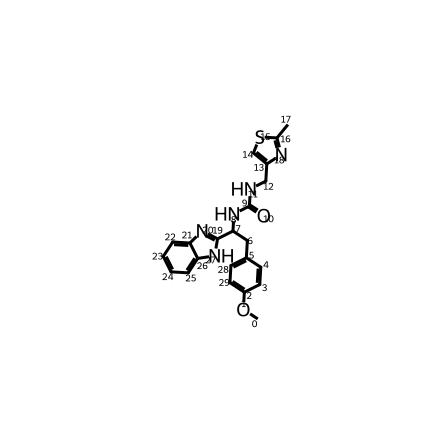 COc1ccc(CC(NC(=O)NCc2csc(C)n2)c2nc3ccccc3[nH]2)cc1